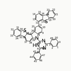 c1ccc(C2=NC(n3c4ccc(-c5cccc6c5sc5ccccc56)cc4c4c5sc6ccccc6c5ccc43)NC(c3ccccc3)=N2)cc1